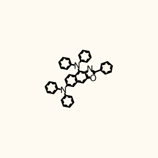 c1ccc(-c2nc3c(N(c4ccccc4)c4ccccc4)c4ccc(N(c5ccccc5)c5ccccc5)cc4cc3o2)cc1